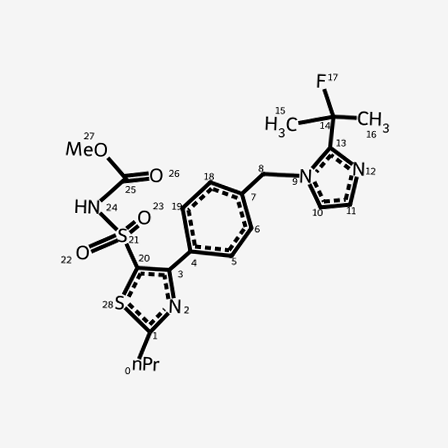 CCCc1nc(-c2ccc(Cn3ccnc3C(C)(C)F)cc2)c(S(=O)(=O)NC(=O)OC)s1